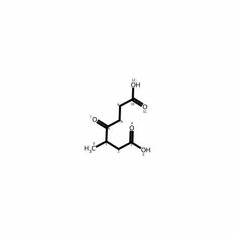 CC(CC(=O)O)C(=O)CCC(=O)O